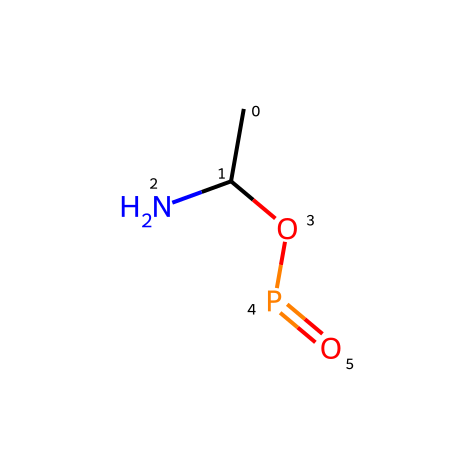 CC(N)OP=O